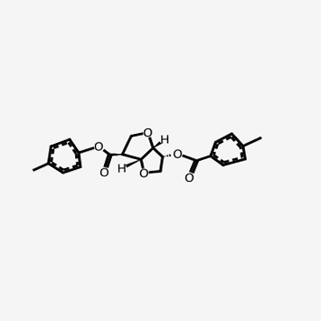 Cc1ccc(OC(=O)[C@H]2CO[C@H]3[C@@H]2OC[C@H]3OC(=O)c2ccc(C)cc2)cc1